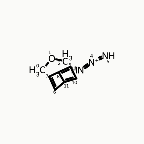 COC.N=[N+]=N.c1cc2ccc1-2